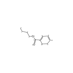 CCCCOC(=O)C1=CC=CC[CH]1